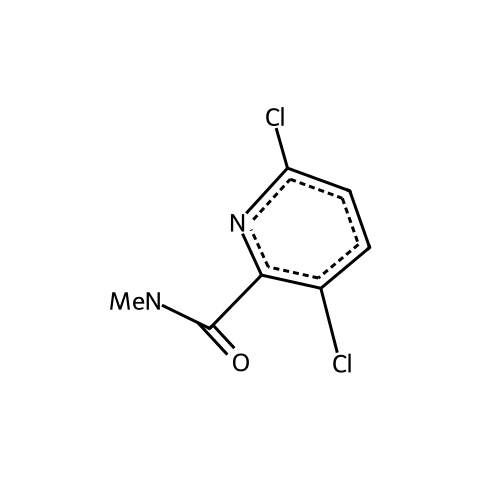 CNC(=O)c1nc(Cl)ccc1Cl